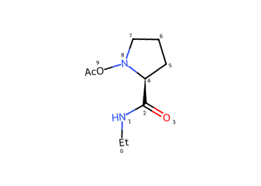 CCNC(=O)[C@@H]1CCCN1OC(C)=O